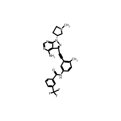 Cc1ccc(NC(=O)c2cccc(C(F)(F)F)c2)cc1C#Cc1nn([C@@H]2CCN(C)C2)c2ncnc(N)c12